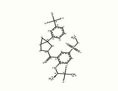 CCS(=O)(=O)c1ccc(O[C@H](C)C(C)(F)F)c(C(=O)N2CC3CC3(c3nccc(C(F)(F)F)n3)C2)c1